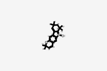 CC1(C)C=C2C(=[N+]([O-])c3cc4c(cc32)OC(C)(C)C=C4)C(C)(C)C1